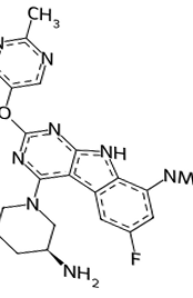 CNc1cc(F)cc2c1[nH]c1nc(Oc3cnc(C)nc3)nc(N3CCC[C@H](N)C3)c12